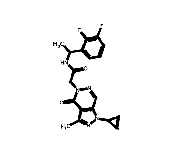 Cc1nn(C2CC2)c2cnn(CC(=O)NC(C)c3cccc(F)c3F)c(=O)c12